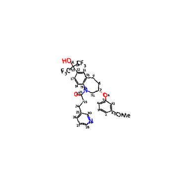 COc1cccc(O[C@H]2CCc3cc(C(O)(C(F)(F)F)C(F)(F)F)ccc3N(C(=O)CCc3cccnc3)C2)c1